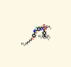 CCCCCCCOc1ccc(-c2nnc(-c3ccc(CC(NC(=O)c4ccc(C(C)(C)C)cc4)C(=O)OC)cc3F)s2)cc1